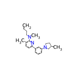 C=CCCN(C)c1nc(-c2cccc(N3CC[C@@H](C)C3)c2)ccc1C